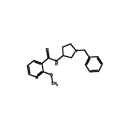 COc1ncccc1C(=O)NC1CCN(Cc2ccccc2)C1